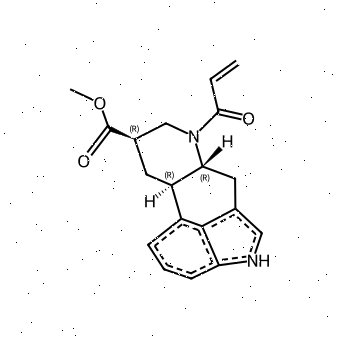 C=CC(=O)N1C[C@H](C(=O)OC)C[C@@H]2c3cccc4[nH]cc(c34)C[C@H]21